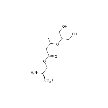 CC(CC(=O)OC[C@H](N)C(=O)O)OC(CO)CO